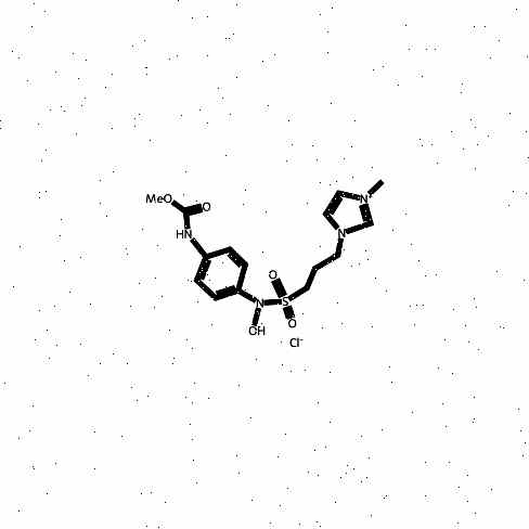 COC(=O)Nc1ccc(N(O)S(=O)(=O)CCCn2cc[n+](C)c2)cc1.[Cl-]